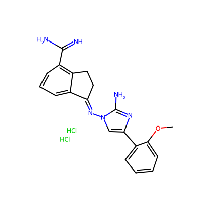 COc1ccccc1-c1cn(/N=C2\CCc3c(C(=N)N)cccc32)c(N)n1.Cl.Cl